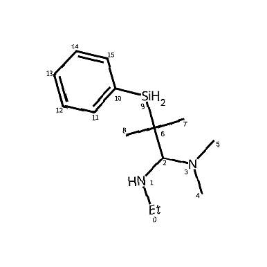 CCNC(N(C)C)C(C)(C)[SiH2]c1ccccc1